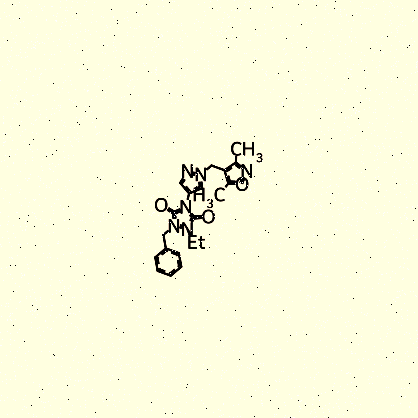 CCn1c(=O)n(-c2cnn(Cc3c(C)noc3C)c2)c(=O)n1Cc1ccccc1